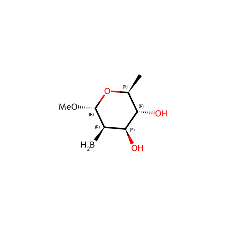 B[C@H]1[C@H](OC)O[C@@H](C)[C@H](O)[C@H]1O